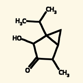 CC1C(=O)C(O)C2(C(C)C)CC12